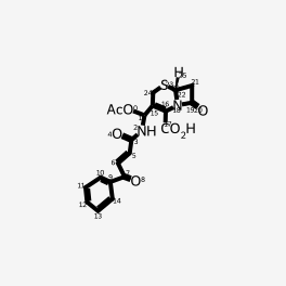 CC(=O)OC(NC(=O)C=CC(=O)c1ccccc1)C1=C(C(=O)O)N2C(=O)C[C@H]2SC1